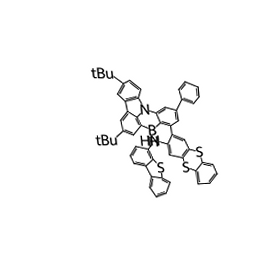 CC(C)(C)c1ccc2c(c1)c1cc(C(C)(C)C)cc3c1n2-c1cc(-c2ccccc2)cc(-c2cc4c(cc2Nc2cccc5c2sc2ccccc25)Sc2ccccc2S4)c1B3